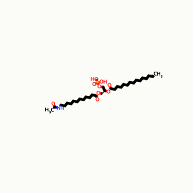 CCCCCCCCCCCCCCC(=O)O[C@H](COC(=O)CCCCCCCCCCCNC(C)=O)COP(=O)(O)O